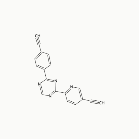 C#Cc1ccc(-c2ncnc(-c3ccc(C#C)cn3)n2)cc1